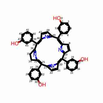 Oc1cccc(C2=C3C=CC(=N3)C(c3cccc(O)c3)=C3C=CC(=N3)C(c3cccc(O)c3)=C3CCC(=N3)C(c3cccc(O)c3)=C3C=CC2=N3)c1